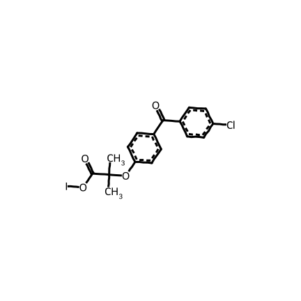 CC(C)(Oc1ccc(C(=O)c2ccc(Cl)cc2)cc1)C(=O)OI